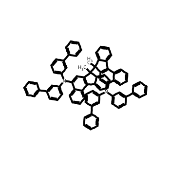 CC1(C2(C)c3ccccc3-c3c2cc(N(c2cccc(-c4ccccc4)c2)c2cccc(-c4ccccc4)c2)c2ccccc32)c2ccccc2-c2c1cc(N(c1cccc(-c3ccccc3)c1)c1cccc(-c3ccccc3)c1)c1ccccc21